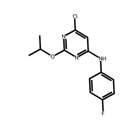 CC(C)Oc1nc(Cl)cc(Nc2ccc(F)cc2)n1